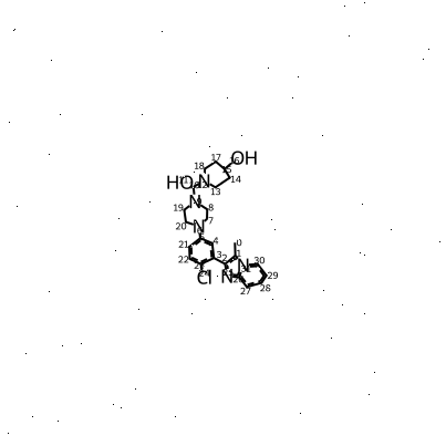 Cc1c(-c2cc(N3CCN(C(O)N4CCC(O)CC4)CC3)ccc2Cl)nc2ccccn12